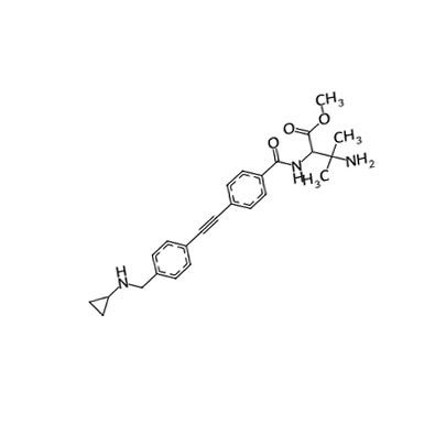 COC(=O)C(NC(=O)c1ccc(C#Cc2ccc(CNC3CC3)cc2)cc1)C(C)(C)N